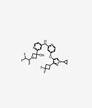 OC1(c2cc(Nc3cc(Oc4cn(C5CC5)nc4C4CC(F)(F)C4)ccn3)ccn2)CN(C(F)C(F)F)C1